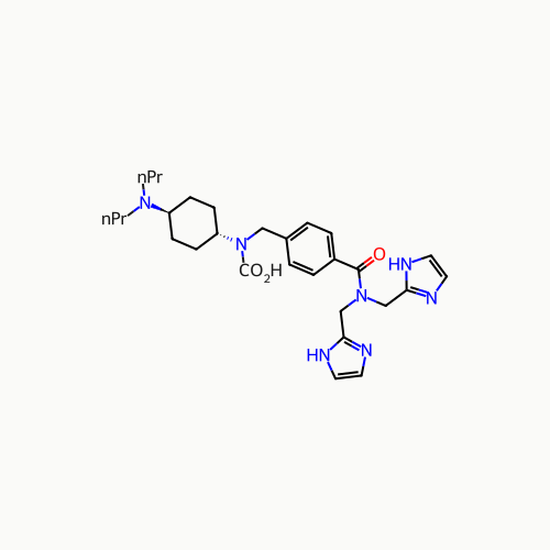 CCCN(CCC)[C@H]1CC[C@H](N(Cc2ccc(C(=O)N(Cc3ncc[nH]3)Cc3ncc[nH]3)cc2)C(=O)O)CC1